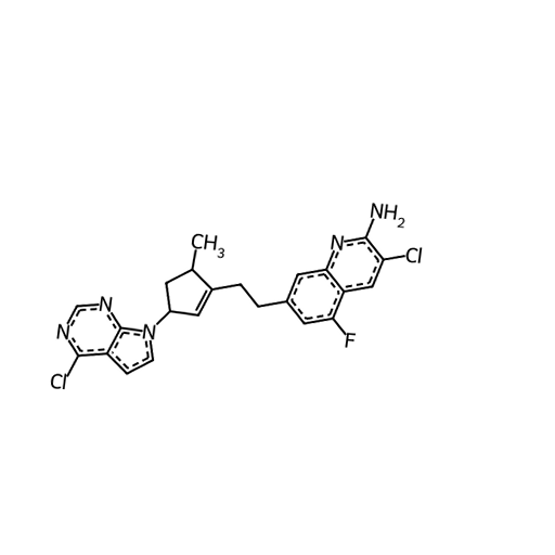 CC1CC(n2ccc3c(Cl)ncnc32)C=C1CCc1cc(F)c2cc(Cl)c(N)nc2c1